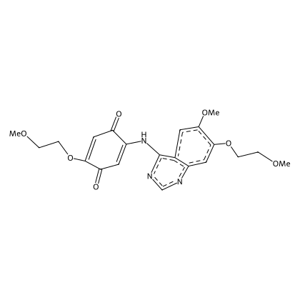 COCCOC1=CC(=O)C(Nc2ncnc3cc(OCCOC)c(OC)cc23)=CC1=O